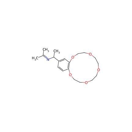 CC(C)=NC(C)c1ccc2c(c1)OCCOCCOCCOCCO2